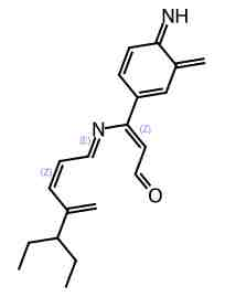 C=C1C=C(C(=C/C=O)/N=C/C=C\C(=C)C(CC)CC)C=CC1=N